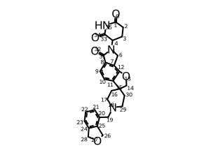 O=C1CCC(N2Cc3c(ccc4c3OCC43CCN(Cc4cccc5c4COC5)CC3)C2=O)C(=O)N1